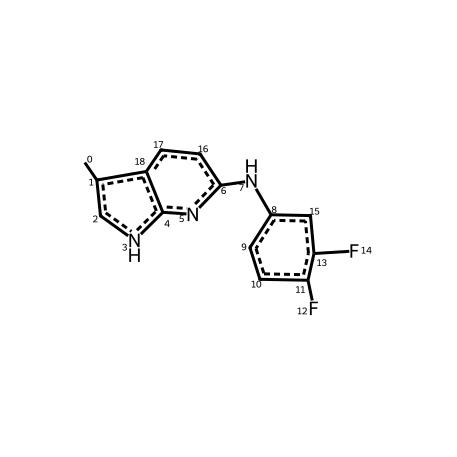 Cc1c[nH]c2nc(Nc3ccc(F)c(F)c3)ccc12